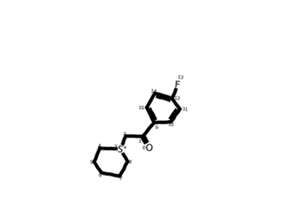 O=C(C[S+]1CCCCC1)c1ccc(F)cc1